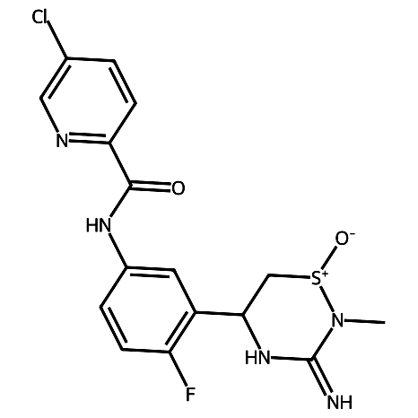 CN1C(=N)NC(c2cc(NC(=O)c3ccc(Cl)cn3)ccc2F)C[S+]1[O-]